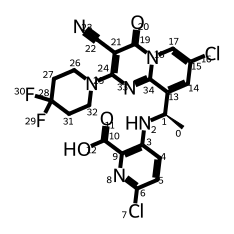 C[C@@H](Nc1ccc(Cl)nc1C(=O)O)c1cc(Cl)cn2c(=O)c(C#N)c(N3CCC(F)(F)CC3)nc12